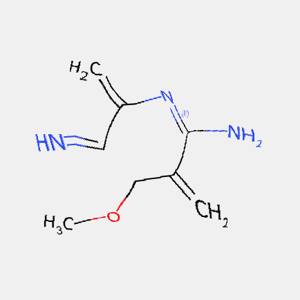 C=C(C=N)/N=C(/N)C(=C)COC